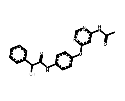 CC(=O)Nc1cc(Oc2ccc(NC(=O)C(O)c3ccccc3)cc2)ncn1